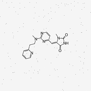 CN1C(=O)NC(=O)/C1=C/c1ccnc(N(C)CCc2ccccn2)n1